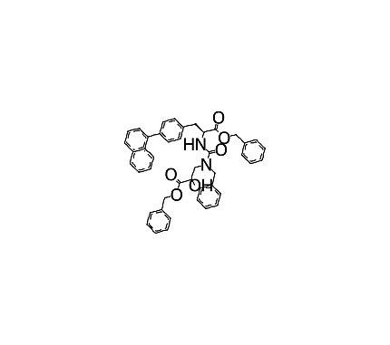 O=C(OCc1ccccc1)C(O)CN(Cc1ccccc1)C(=O)N[C@@H](Cc1ccc(-c2cccc3ccccc23)cc1)C(=O)OCc1ccccc1